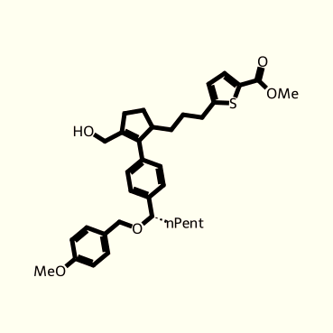 CCCCC[C@H](OCc1ccc(OC)cc1)c1ccc(C2=C(CO)CCC2CCCc2ccc(C(=O)OC)s2)cc1